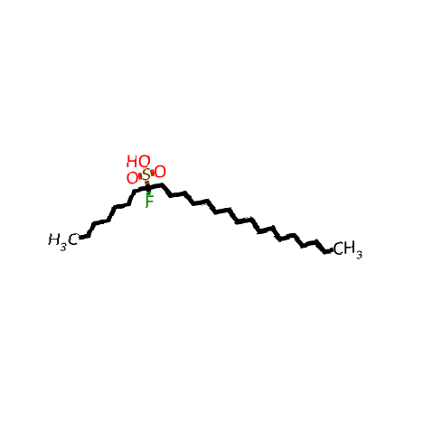 CCCCCCCCCCCCCCCCCC(F)(CCCCCCC)S(=O)(=O)O